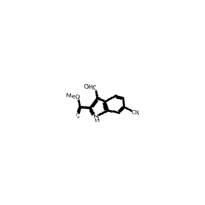 COC(=O)c1[nH]c2cc(C#N)ccc2c1C=O